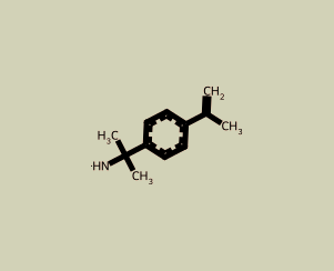 C=C(C)c1ccc(C(C)(C)[NH])cc1